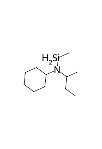 CCC(C)N([SiH2]C)C1CCCCC1